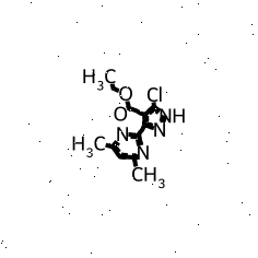 CCOC(=O)c1c(-c2nc(C)cc(C)n2)n[nH]c1Cl